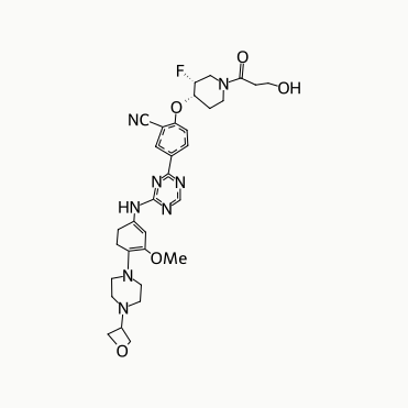 COC1=C(N2CCN(C3COC3)CC2)CCC(Nc2ncnc(-c3ccc(O[C@H]4CCN(C(=O)CCO)C[C@H]4F)c(C#N)c3)n2)=C1